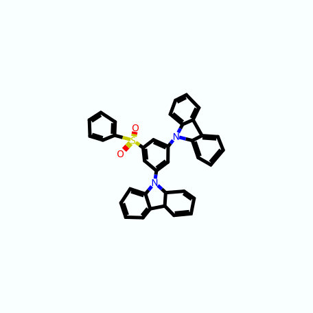 O=S(=O)(c1ccccc1)c1cc(N2c3ccccc3C3C=CC=CC32)cc(-n2c3ccccc3c3ccccc32)c1